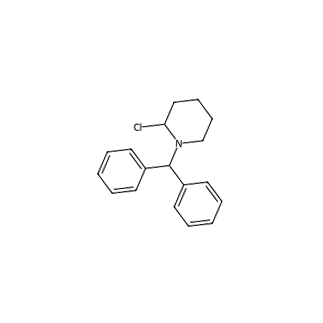 ClC1CCCCN1C(c1ccccc1)c1ccccc1